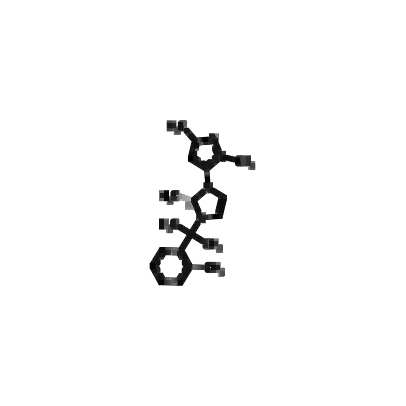 Cc1cc(N2C=CN(C(C)(C)c3ccccc3C)[C@@H]2C)n(C)n1